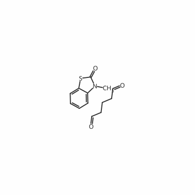 Cn1c(=O)sc2ccccc21.O=CCCCC=O